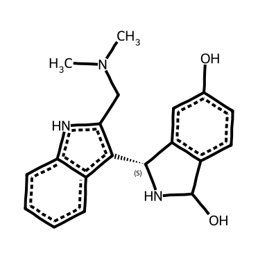 CN(C)Cc1[nH]c2ccccc2c1[C@H]1NC(O)c2ccc(O)cc21